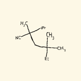 CCC(C)(C)CC(C)(C#N)C(C)C